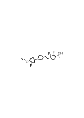 C=CCOc1ccc(-c2ccc(CCc3ccc(C(C)O)c(F)c3F)cc2)cc1F